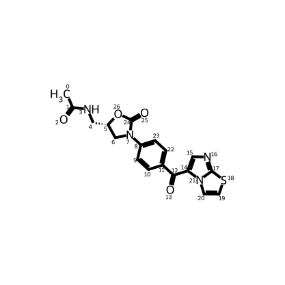 CC(=O)NC[C@H]1CN(c2ccc(C(=O)c3cnc4sccn34)cc2)C(=O)O1